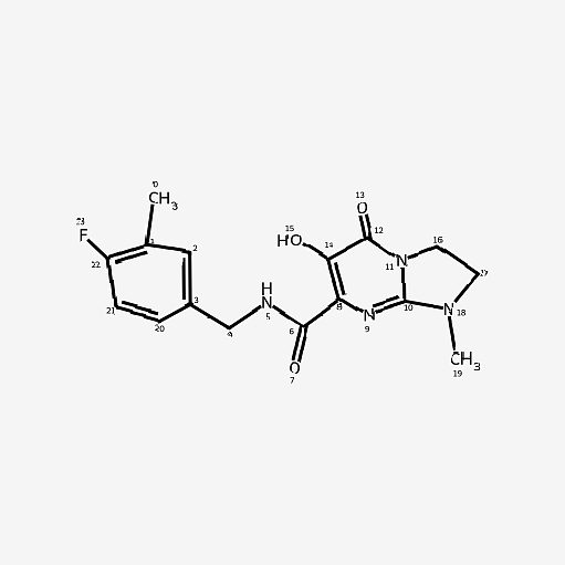 Cc1cc(CNC(=O)c2nc3n(c(=O)c2O)CCN3C)ccc1F